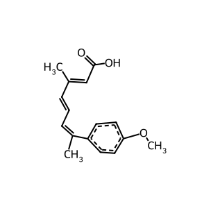 COc1ccc(/C(C)=C\C=C\C(C)=CC(=O)O)cc1